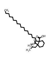 CCCCCCCCCCCCCCCCCCC1(C(=O)O)CCCCC1(CC(C)C)C(=O)O